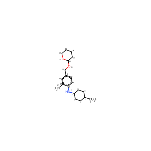 O=C(O)[C@H]1CC[C@@H](Nc2ccc(COC3CCCCO3)cc2[N+](=O)[O-])CC1